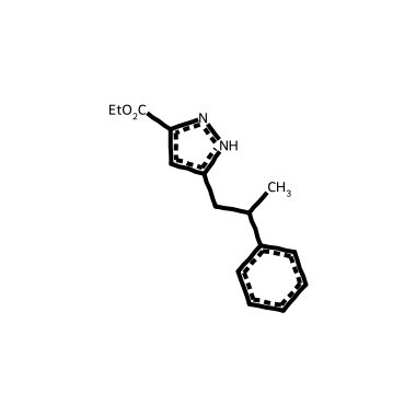 CCOC(=O)c1cc(CC(C)c2ccccc2)[nH]n1